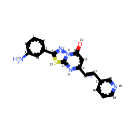 Nc1cccc(-c2nn3c(=O)cc(/C=C/c4cccnc4)nc3s2)c1